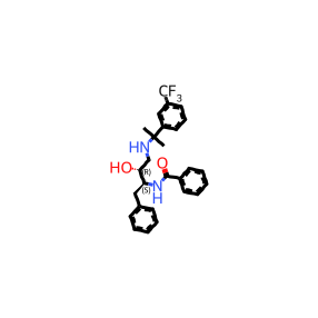 CC(C)(NC[C@@H](O)[C@H](Cc1ccccc1)NC(=O)c1ccccc1)c1cccc(C(F)(F)F)c1